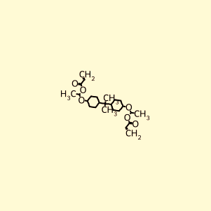 C=CC(=O)OC(C)OC1CCC(C(C)(C)C2CCC(OC(C)OC(=O)C=C)CC2)CC1